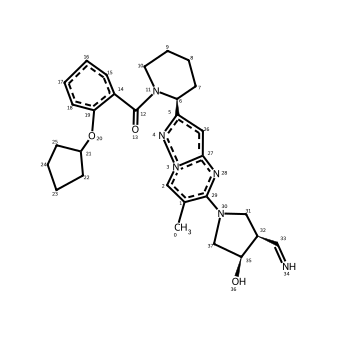 Cc1cn2nc([C@@H]3CCCCN3C(=O)c3ccccc3OC3CCCC3)cc2nc1N1C[C@@H](C=N)[C@@H](O)C1